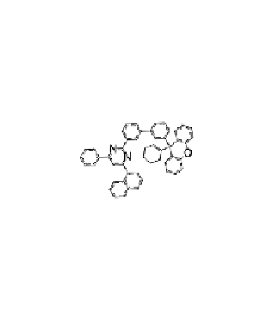 C1=C(C2(c3cccc(-c4cccc(-c5nc(-c6ccccc6)cc(-c6cccc7ccccc67)n5)c4)c3)c3ccccc3Oc3ccccc32)CCCC1